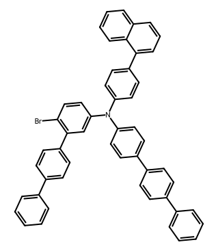 Brc1ccc(N(c2ccc(-c3ccc(-c4ccccc4)cc3)cc2)c2ccc(-c3cccc4ccccc34)cc2)cc1-c1ccc(-c2ccccc2)cc1